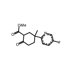 COC(=O)C1CC(C)(c2ccc(F)cn2)CCC1=O